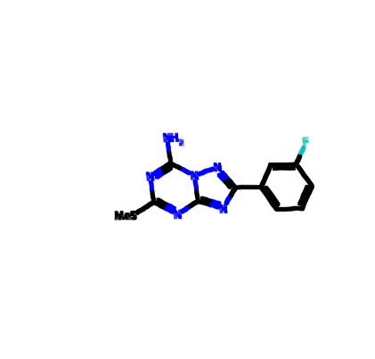 CSc1nc(N)n2nc(-c3cccc(F)c3)nc2n1